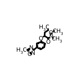 CCCC(Oc1cccc(-c2noc(C)n2)c1)C(=O)N(C)OC